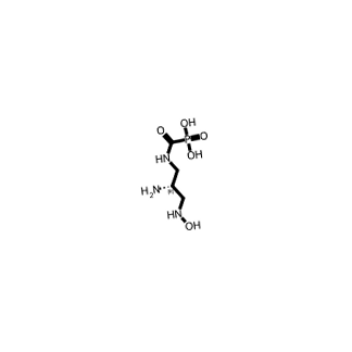 N[C@@H](CNO)CNC(=O)P(=O)(O)O